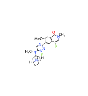 COc1cc2c(=O)n(C)cc(F)c2cc1-c1ncc(N(C)[C@H]2C[C@@H]3CCC([C@H]2F)N3C(=O)O)nn1